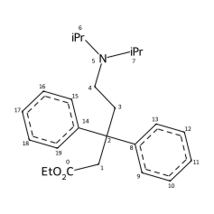 CCOC(=O)CC(CCN(C(C)C)C(C)C)(c1ccccc1)c1ccccc1